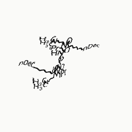 CCCCCCCCCCCCCCCCCC(=O)N(CCCN(C)C)C(C(=O)NCCOCCNC(=O)C(C(C)C)N(CCCN(C)C)C(=O)CCCCCCCCCCCCCCCCC)C(C)C